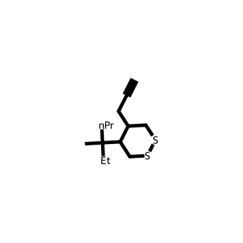 C#CCC1CSSCC1C(C)(CC)CCC